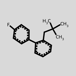 CC(C)(C)Cc1ccccc1-c1ccc(F)cc1